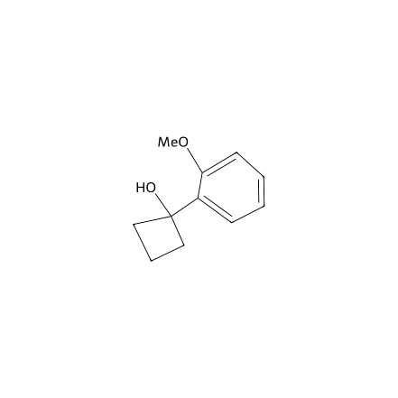 COc1ccccc1C1(O)CCC1